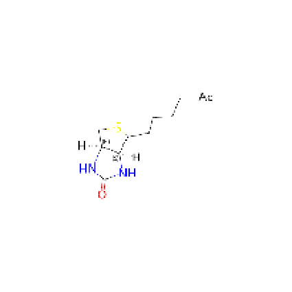 CC(=O)CCCCC1SC[C@@H]2NC(=O)N[C@H]12